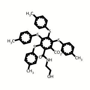 Cc1ccc(Sc2c(Sc3ccc(C)cc3)c(Sc3ccc(C)cc3)c(C(=O)NCCO)c(C(=O)O)c2Sc2ccc(C)cc2)cc1